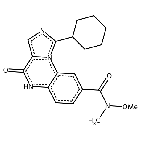 CON(C)C(=O)c1ccc2[nH]c(=O)c3cnc(C4CCCCC4)n3c2c1